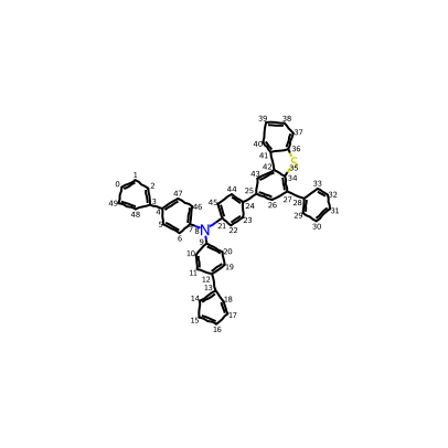 c1ccc(-c2ccc(N(c3ccc(-c4ccccc4)cc3)c3ccc(-c4cc(-c5ccccc5)c5sc6ccccc6c5c4)cc3)cc2)cc1